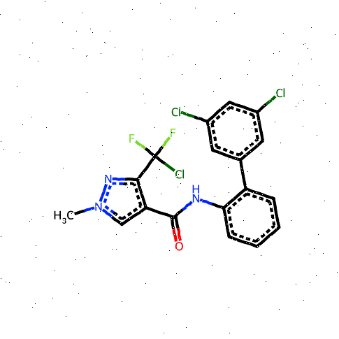 Cn1cc(C(=O)Nc2ccccc2-c2cc(Cl)cc(Cl)c2)c(C(F)(F)Cl)n1